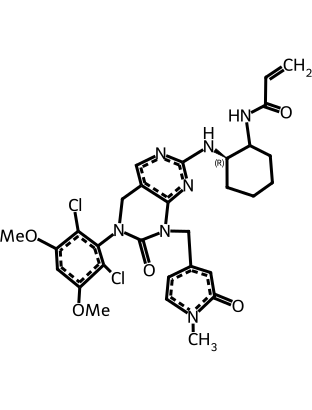 C=CC(=O)NC1CCCC[C@H]1Nc1ncc2c(n1)N(Cc1ccn(C)c(=O)c1)C(=O)N(c1c(Cl)c(OC)cc(OC)c1Cl)C2